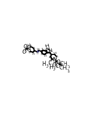 CC1CC(c2n[nH]c3cc(/C=C/C4CCN(C(=O)O)CC4)ccc23)CCN1C(=O)OC(C)(C)C